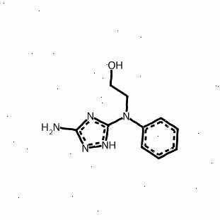 Nc1n[nH]c(N(CCO)c2ccccc2)n1